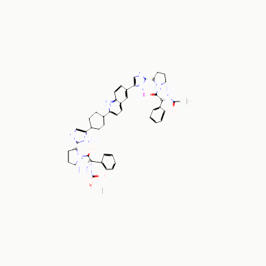 COC(=O)N[C@@H](C(=O)N1CCC[C@H]1c1ncc(C2CCC(c3ccc4cc(-c5cnc([C@@H]6CCCN6C(=O)[C@H](NC(C)=O)c6ccccc6)[nH]5)ccc4n3)CC2)[nH]1)c1ccccc1